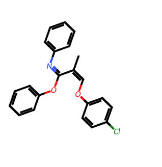 CC(=COc1ccc(Cl)cc1)C(=Nc1ccccc1)Oc1ccccc1